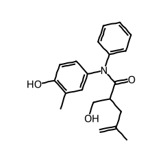 C=C(C)CC(CO)C(=O)N(c1ccccc1)c1ccc(O)c(C)c1